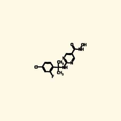 CC(C)(Nc1ncc(C(=O)NO)cn1)c1ccc(Cl)cc1F